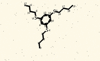 CCCCSc1cc(SCCCC)cc(SCCCC)c1